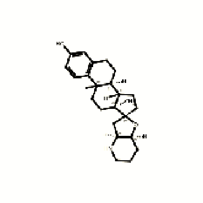 C[C@]12CC[C@@H]3c4ccc(O)cc4CC[C@H]3[C@@H]1CC[C@@]21C[C@@H]2NCCC[C@@H]2O1